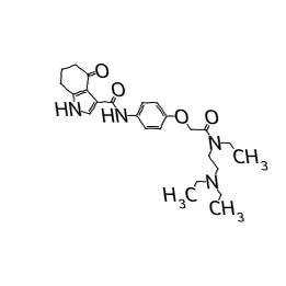 CCN(CC)CCN(CC)C(=O)COc1ccc(NC(=O)c2c[nH]c3c2C(=O)CCC3)cc1